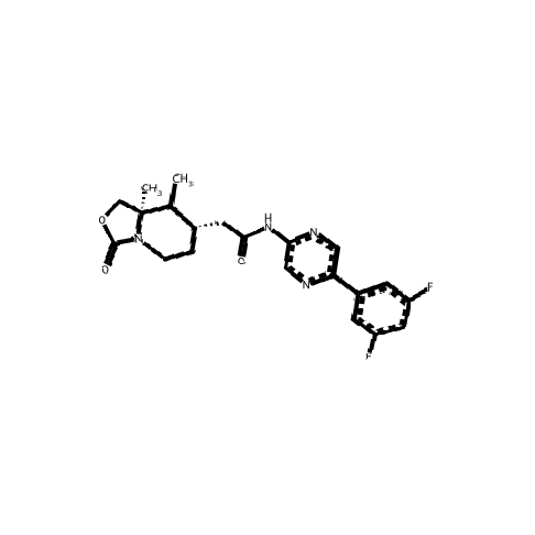 CC1[C@H](CC(=O)Nc2cnc(-c3cc(F)cc(F)c3)cn2)CCN2C(=O)OC[C@@]12C